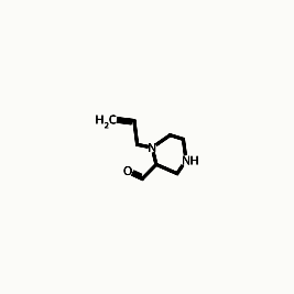 C=CCN1CCNCC1C=O